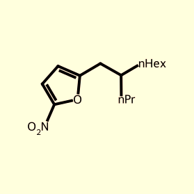 CCCCCCC(CCC)Cc1ccc([N+](=O)[O-])o1